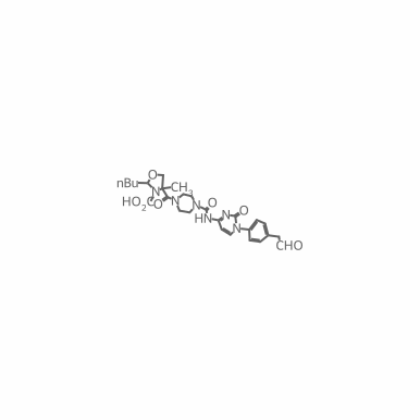 CCCCC1OCC(C)(C(=O)N2CCN(C(=O)Nc3ccn(-c4ccc(CC=O)cc4)c(=O)n3)CC2)N1C(=O)O